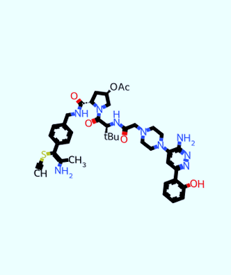 C#CS/C(=C(/C)N)c1ccc(CNC(=O)[C@@H]2C[C@@H](OC(C)=O)CN2C(=O)[C@@H](NC(=O)CN2CCN(c3cc(-c4ccccc4O)nnc3N)CC2)C(C)(C)C)cc1